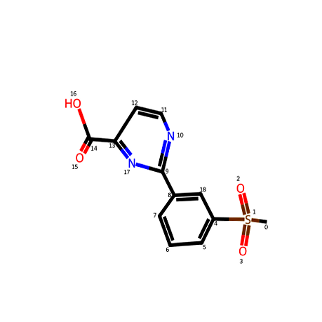 CS(=O)(=O)c1cccc(-c2nccc(C(=O)O)n2)c1